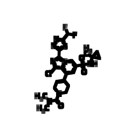 CN(C)C(=O)N1CC=C(c2cc(S(=O)(=O)NC3(C)CC3)cn3c(-c4nnc(C(F)F)s4)nc(Cl)c23)CC1